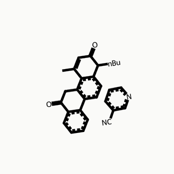 CCCCC1C(=O)C=C(C)c2c1ccc1c2CC(=O)c2ccccc2-1.N#Cc1cccnc1